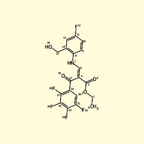 CCOC(=O)/C(=C/Nc1ccc(F)cc1CO)C(=O)c1cc(F)c(F)c(F)c1F